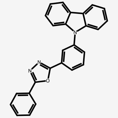 c1ccc(-c2nnc(-c3cccc(-n4c5ccccc5c5ccccc54)c3)o2)cc1